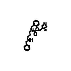 O=C(OCc1cncs1)N(CCCNCc1ccccc1)Cc1ccccc1